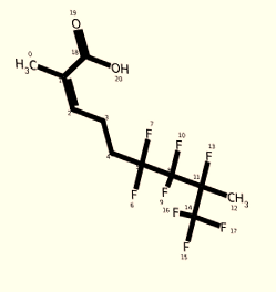 CC(=CCCC(F)(F)C(F)(F)C(C)(F)C(F)(F)F)C(=O)O